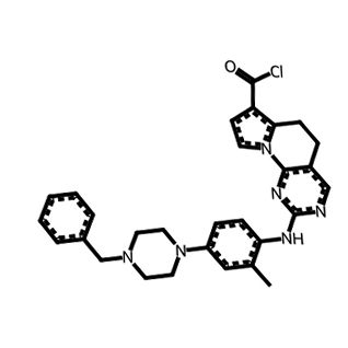 Cc1cc(N2CCN(Cc3ccccc3)CC2)ccc1Nc1ncc2c(n1)-n1ccc(C(=O)Cl)c1CC2